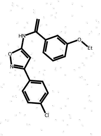 C=C(Nc1cc(-c2ccc(Cl)cc2)no1)c1cccc(OCC)c1